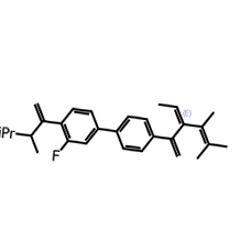 C=C(/C(=C\C)C(C)=C(C)C)c1ccc(-c2ccc(C(=C)C(C)C(C)C)c(F)c2)cc1